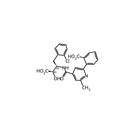 Cc1cc(C(=O)N[C@H](Cc2ccccc2Cl)[C@@H](O)C(=O)O)cc(-c2ccccc2C(=O)O)n1